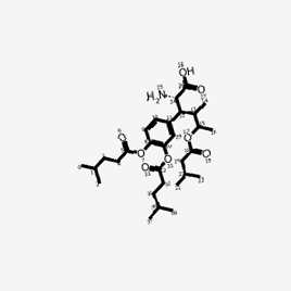 CC(C)CCC(=O)Oc1ccc(C(C(C)C(C)OC(=O)CC(C)C)[C@H](N)C(=O)O)cc1OC(=O)CCC(C)C